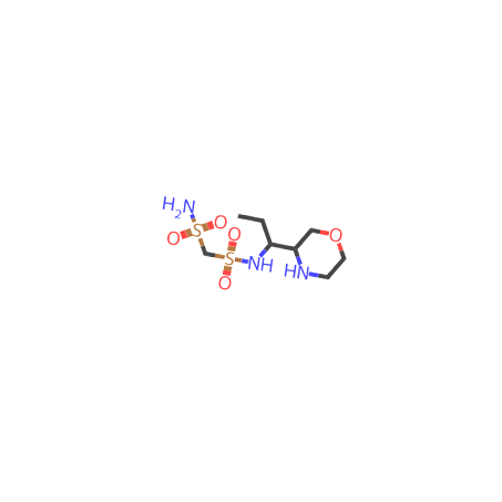 CCC(NS(=O)(=O)CS(N)(=O)=O)C1COCCN1